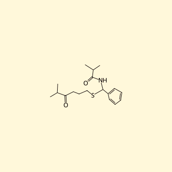 CC(C)C(=O)CCCSC(NC(=O)C(C)C)c1ccccc1